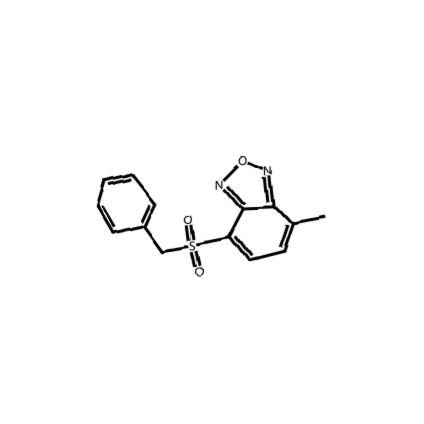 Cc1ccc(S(=O)(=O)Cc2ccccc2)c2nonc12